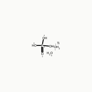 O.O.O=P(O)(O)O.[Ti]